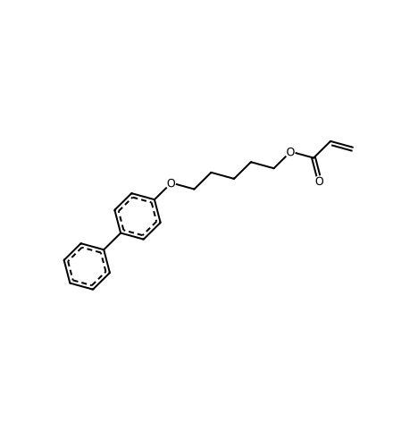 C=CC(=O)OCCCCCOc1ccc(-c2ccccc2)cc1